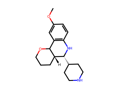 COc1ccc2c(c1)C1OCCC[C@H]1[C@@H](C1CCNCC1)N2